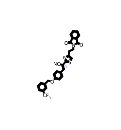 N#C/C(=C\c1ccc(OCc2cccc(C(F)(F)F)c2)cc1)c1nc(CCN2C(=O)c3ccccc3C2=O)cs1